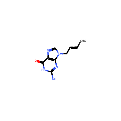 Nc1nc2c(ncn2C/C=C/C=O)c(=O)[nH]1